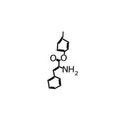 NC(=Cc1ccccc1)C(=O)Oc1ccc(I)cc1